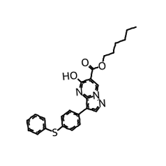 CCCCCCOC(=O)c1cn2ncc(-c3ccc(Sc4ccccc4)cc3)c2nc1O